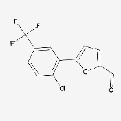 O=Cc1ccc(-c2cc(C(F)(F)F)ccc2Cl)o1